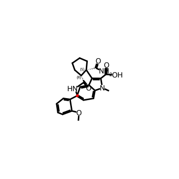 COc1ccccc1CNC(=O)[C@@H]1CCCC[C@@]1(C(N)=O)c1c(C(=O)O)n(C)c2ccccc12